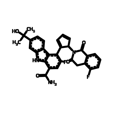 CC(C)(O)c1ccc2c(c1)[nH]c1c(C(N)=O)cc(F)c(C3=CC=CC3N3C(=O)Cc4c(F)cccc4C3=O)c12